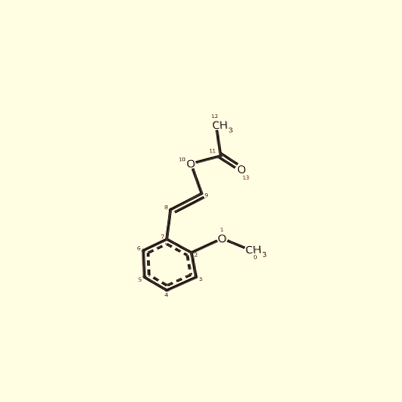 COc1ccccc1C=COC(C)=O